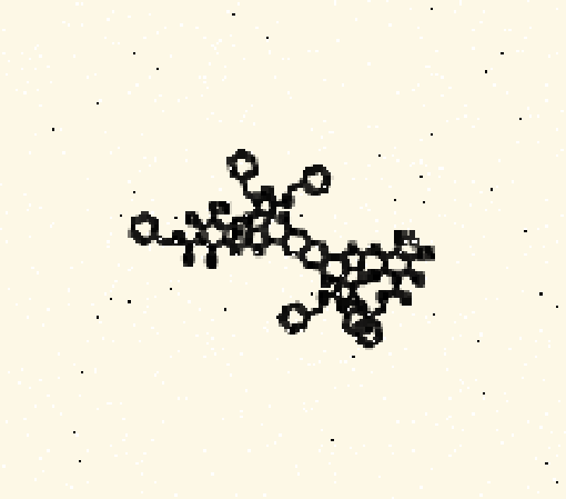 CC1=C(C#N)C(=O)N(C(=O)OCc2ccccc2)C(=O)/C1=N\C1CC2=C(S1)C1=CC3C=C4OC(C(=O)OCc5ccccc5)(C(=O)OCc5ccccc5)c5cc(/N=C6/C(=O)N(C(=O)OCc7ccccc7)C(=O)C(C#N)=C6C)sc5C4CC3C=C1OC2(C(=O)OCc1ccccc1)C(=O)OCc1ccccc1